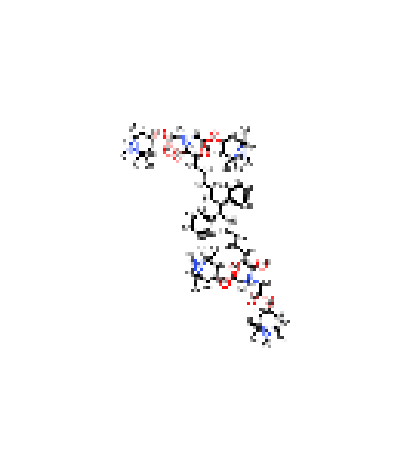 CN1C(C)(C)CC(OC(=O)CN(CC(=O)OC2CC(C)(C)N(C)C(C)(C)C2)C(=O)CCCCCCC(c2ccccc2)C(CCCCCCC(=O)N(CC(=O)OC2CC(C)(C)N(C)C(C)(C)C2)CC(=O)OC2CC(C)(C)N(C)C(C)(C)C2)c2ccccc2)CC1(C)C